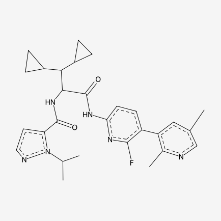 Cc1cnc(C)c(-c2ccc(NC(=O)C(NC(=O)c3ccnn3C(C)C)C(C3CC3)C3CC3)nc2F)c1